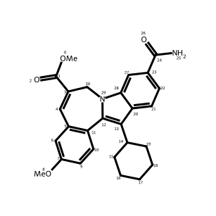 COC(=O)C1=Cc2cc(OC)ccc2-c2c(C3CCCCC3)c3ccc(C(N)=O)cc3n2C1